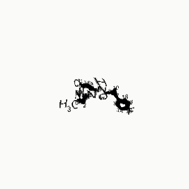 Cc1cc2nc(NC(=O)C3CC3c3ccc(F)cc3)cc(Cl)n2n1